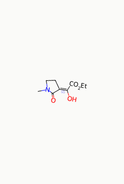 CCOC(=O)/C(O)=C1\CCN(C)C1=O